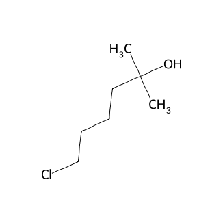 CC(C)(O)CCCCCl